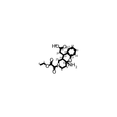 CCOC(=O)C(=O)N1CCC2(N)Oc3ccccc3C(CC(=O)O)C2C1